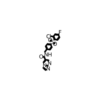 O=C(NCc1ccc(S(=O)(=O)c2ccc(F)cc2Cl)cc1)c1cnc2nccn2c1